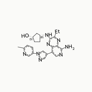 CCc1nc2c(N)ncc(-c3cnn(-c4ccc(C)nc4)c3)c2nc1N[C@@H]1CC[C@H](O)C1